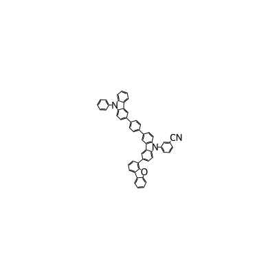 N#Cc1cccc(-n2c3ccc(-c4ccc(-c5ccc6c(c5)c5ccccc5n6-c5ccccc5)cc4)cc3c3cc(-c4cccc5c4oc4ccccc45)ccc32)c1